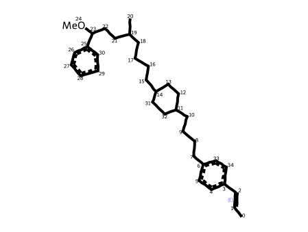 C/C=C/c1ccc(CCCCC2CCC(CCCCC(C)CCC(OC)c3ccccc3)CC2)cc1